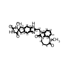 CN1C(=O)CCCn2c(=O)n(Cc3nc4cc5c(cc4[nH]3)CC3(C5)C(=O)NC(=O)N3C)c3cccc1c32